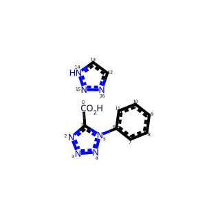 O=C(O)c1nnnn1-c1ccccc1.c1c[nH]nn1